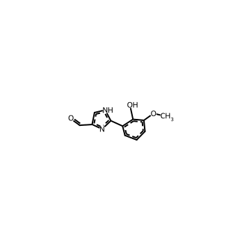 COc1cccc(-c2nc(C=O)c[nH]2)c1O